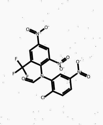 O=CN(c1cc([N+](=O)[O-])ccc1Cl)c1c([N+](=O)[O-])cc([N+](=O)[O-])cc1C(F)(F)F